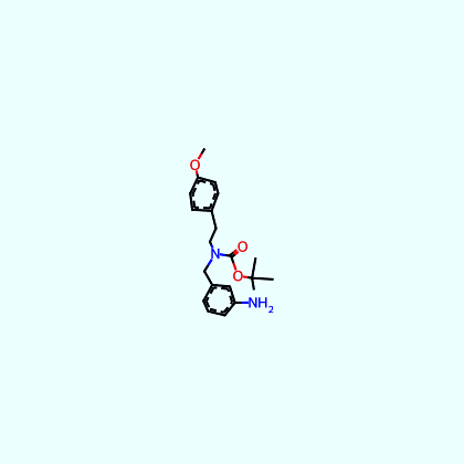 COc1ccc(CCN(Cc2cccc(N)c2)C(=O)OC(C)(C)C)cc1